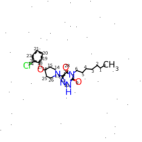 CCCCCCCn1c(=O)[nH]nc(N2CCC(Oc3ccccc3Cl)CC2)c1=O